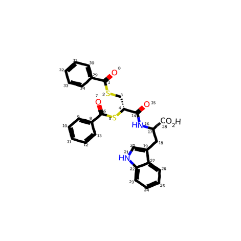 O=C(SC[C@@H](SC(=O)c1ccccc1)C(=O)NC(Cc1c[nH]c2ccccc12)C(=O)O)c1ccccc1